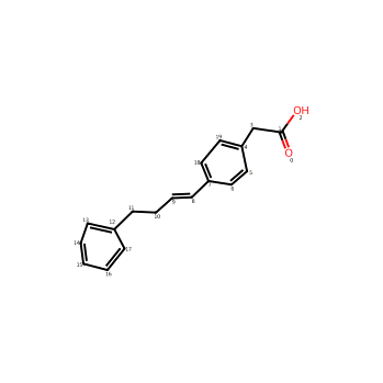 O=C(O)Cc1ccc(/C=C/CCc2ccccc2)cc1